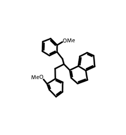 COc1ccccc1CC(Cc1ccccc1OC)c1cccc2ccccc12